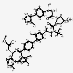 COC(=O)C[C@@H]1N=C(c2ccc(-c3ccc(C(=O)N[C@H](C(=O)N4C[C@H](O)C[C@H]4C(=O)N[C@@H](C)c4ccc(-c5scnc5C)cc4)C(C)(C)C)cc3C)cc2)c2c(sc(C)c2C)-n2c(C)nnc21